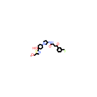 COCc1cnc(C2(O)CCC(N3CC[C@@H](NC(=O)CCC(=O)c4cccc(CF)c4)C3)CC2)s1